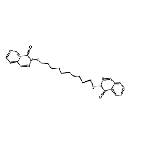 O=c1c2ccccc2cnn1SCCCCCCCCCCSn1ncc2ccccc2c1=O